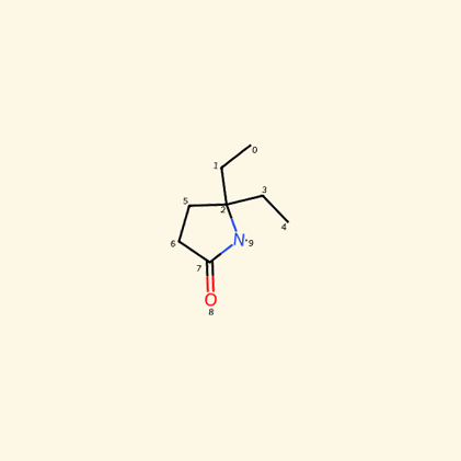 CCC1(CC)CCC(=O)[N]1